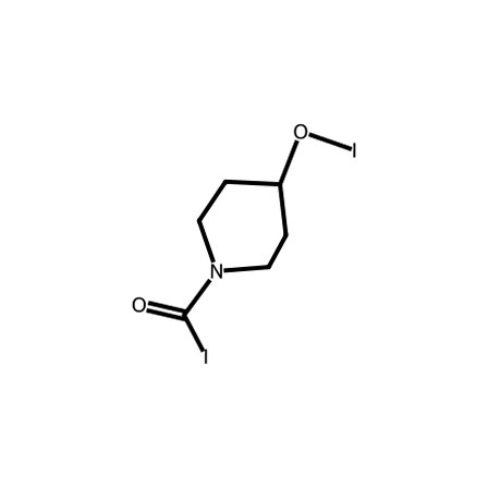 O=C(I)N1CCC(OI)CC1